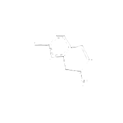 Cc1ccc2c(c1)CC(N)C=C2